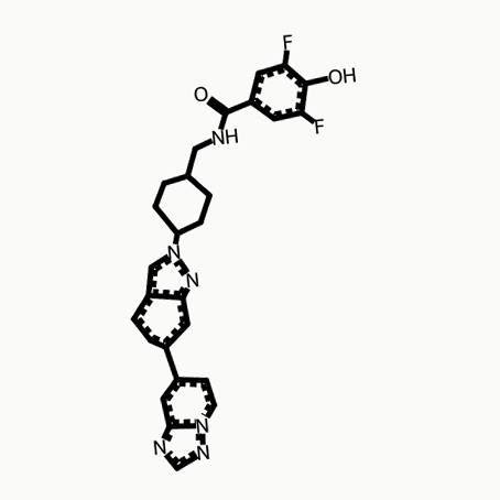 O=C(NCC1CCC(n2cc3ccc(-c4ccn5ncnc5c4)cc3n2)CC1)c1cc(F)c(O)c(F)c1